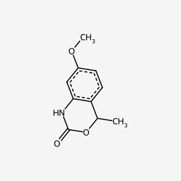 COc1ccc2c(c1)NC(=O)OC2C